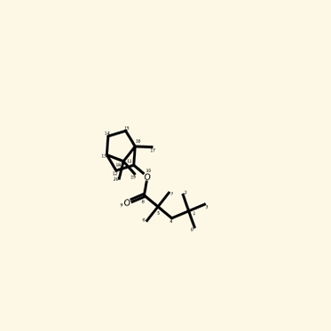 CC(C)(C)CC(C)(C)C(=O)OC1CC2CCC1(C)C2(C)C